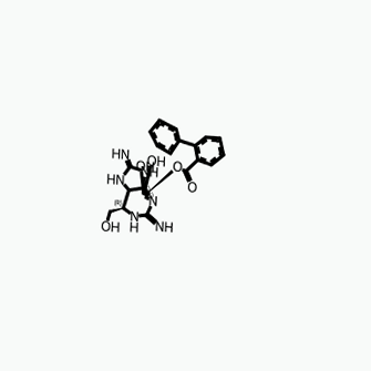 N=C1NC2[C@H](CO)NC(=N)N3C[C@H](OC(=O)c4ccccc4-c4ccccc4)C(O)(O)[C@]23N1